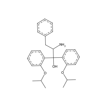 CC(C)Oc1ccccc1C(O)(c1ccccc1OC(C)C)C(N)Cc1ccccc1